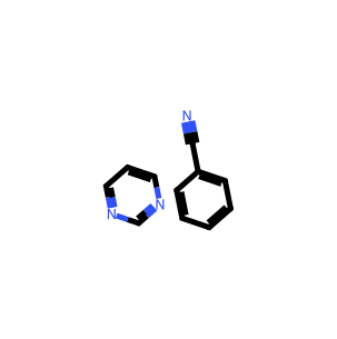 N#Cc1ccccc1.c1cncnc1